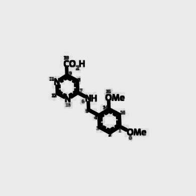 COc1ccc(CNc2cc(C(=O)O)ncn2)c(OC)c1